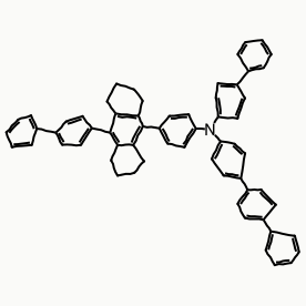 c1ccc(-c2ccc(-c3ccc(N(c4ccc(-c5ccccc5)cc4)c4ccc(-c5c6c(c(-c7ccc(-c8ccccc8)cc7)c7c5CCCC7)CCCC6)cc4)cc3)cc2)cc1